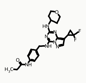 CCC(=O)Nc1ccc(CNc2nc(NC3CCOCC3)nc3c(C4CC4(F)F)cnn23)cc1